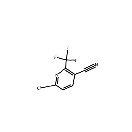 N#Cc1ccc(Cl)nc1C(F)(F)F